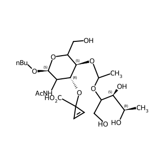 CCCCO[C@H]1OC(CO)[C@@H](OC(C)OC(CO)[C@@H](O)[C@@H](C)O)[C@H](OC2(C(=O)O)C=C2)C1NC(C)=O